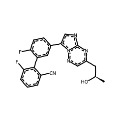 C[C@@H](O)Cc1cnn2c(-c3ccc(F)c(-c4c(F)cccc4C#N)c3)cnc2n1